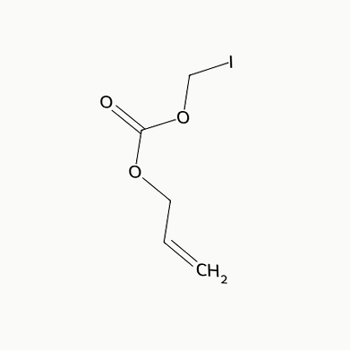 C=CCOC(=O)OCI